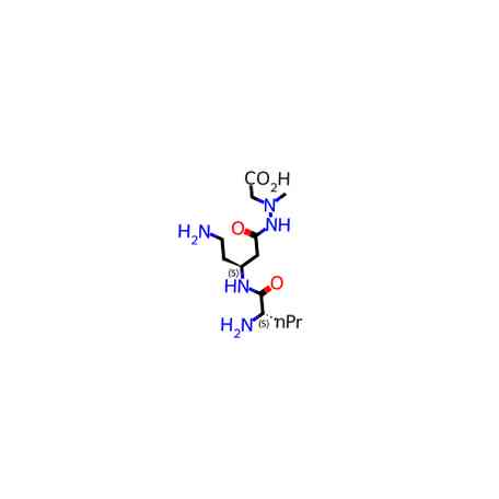 CCC[C@H](N)C(=O)N[C@@H](CCN)CC(=O)NN(C)CC(=O)O